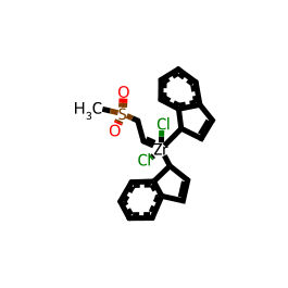 CS(=O)(=O)C[CH]=[Zr]([Cl])([Cl])([CH]1C=Cc2ccccc21)[CH]1C=Cc2ccccc21